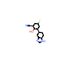 N#Cc1cc(F)cc(-c2ccc3[nH]cnc3c2)c1O